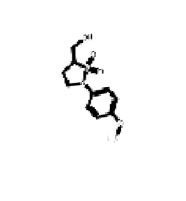 COc1ccc(N2CCC(CO)S2(=O)=O)cc1